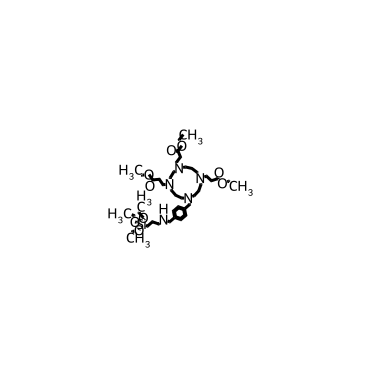 CCOC(=O)CCN1CCCN(CCC(=O)OCC)CCN(CCC(=O)OCC)CCCN(Cc2ccc(CNCCC[Si](OCC)(OCC)OCC)cc2)CCC1